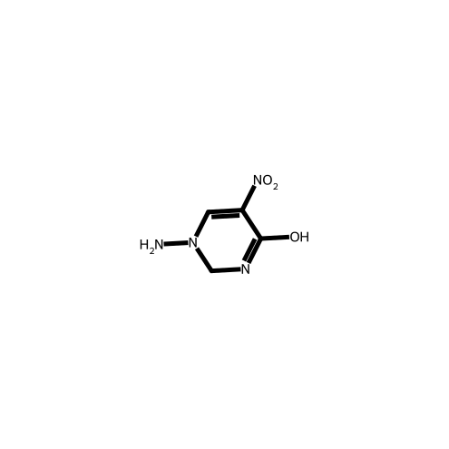 NN1C=C([N+](=O)[O-])C(O)=NC1